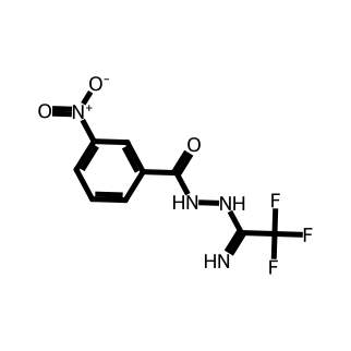 N=C(NNC(=O)c1cccc([N+](=O)[O-])c1)C(F)(F)F